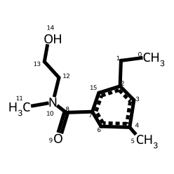 CCc1cc(C)cc(C(=O)N(C)CCO)c1